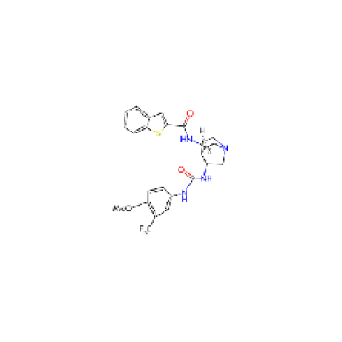 COc1ccc(NC(=O)NC2CN3CCC2[C@@H](NC(=O)c2cc4ccccc4s2)C3)cc1C(F)(F)F